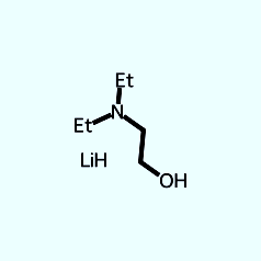 CCN(CC)CCO.[LiH]